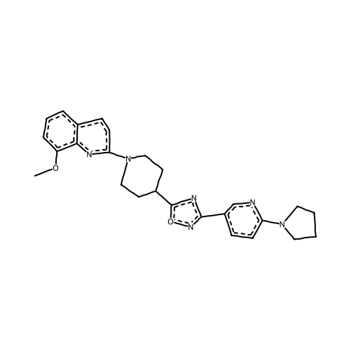 COc1cccc2ccc(N3CCC(c4nc(-c5ccc(N6CCCC6)nc5)no4)CC3)nc12